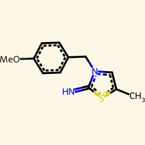 COc1ccc(Cn2cc(C)sc2=N)cc1